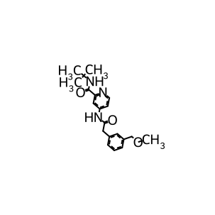 COCc1cccc(CC(=O)Nc2ccnc(C(=O)NC(C)(C)C)c2)c1